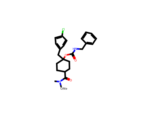 CON(C)C(=O)C1CCC(Cc2ccc(Cl)cc2)(OC(=O)NCc2ccccc2)CC1